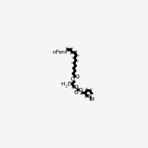 [CH2]C(COC(=O)CCCCCCC/C=C\C/C=C\CCCCC)COC(=O)OCC1CCCN(CC)C1